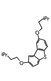 CC(C)CCOc1ccc2sc3ccc(OCCC(C)C)cc3c2c1